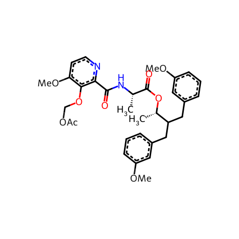 COc1cccc(CC(Cc2cccc(OC)c2)[C@H](C)OC(=O)[C@H](C)NC(=O)c2nccc(OC)c2OCOC(C)=O)c1